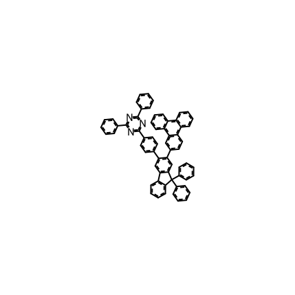 c1ccc(-c2nc(-c3ccccc3)nc(-c3ccc(-c4cc5c(cc4-c4ccc6c7ccccc7c7ccccc7c6c4)C(c4ccccc4)(c4ccccc4)c4ccccc4-5)cc3)n2)cc1